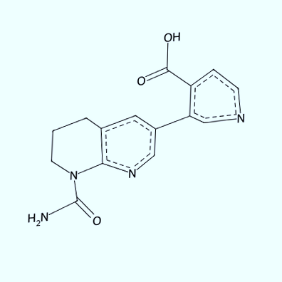 NC(=O)N1CCCc2cc(-c3cnccc3C(=O)O)cnc21